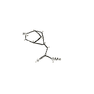 COC(=O)CC1CC2CC1CN2